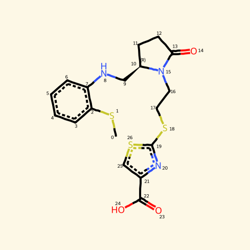 CSc1ccccc1NC[C@H]1CCC(=O)N1CCSc1nc(C(=O)O)cs1